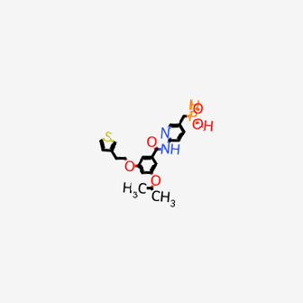 CC(C)Oc1cc(OCCc2ccsc2)cc(C(=O)Nc2ccc(C[PH](=O)O)cn2)c1